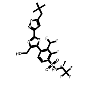 C[C@H](NS(=O)(=O)c1ccc(-c2sc(-c3cc(CC(C)(C)C)on3)nc2CO)c(C(F)F)c1F)C(F)(F)F